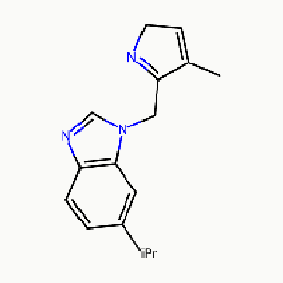 CC1=CCN=C1Cn1cnc2ccc(C(C)C)cc21